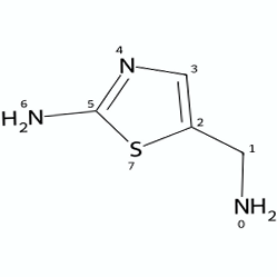 NCc1cnc(N)s1